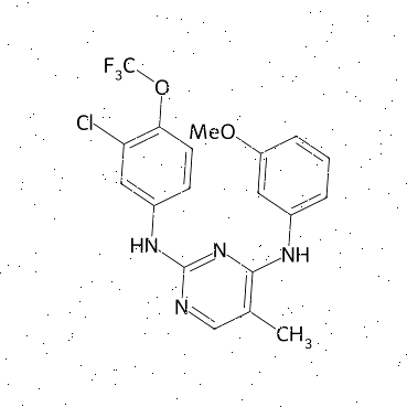 COc1cccc(Nc2nc(Nc3ccc(OC(F)(F)F)c(Cl)c3)ncc2C)c1